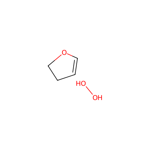 C1=COCC1.OO